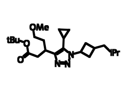 COCCC(CC(=O)OC(C)(C)C)c1nnn(C2CC(CC(C)C)C2)c1C1CC1